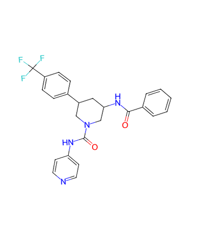 O=C(NC1CC(c2ccc(C(F)(F)F)cc2)CN(C(=O)Nc2ccncc2)C1)c1ccccc1